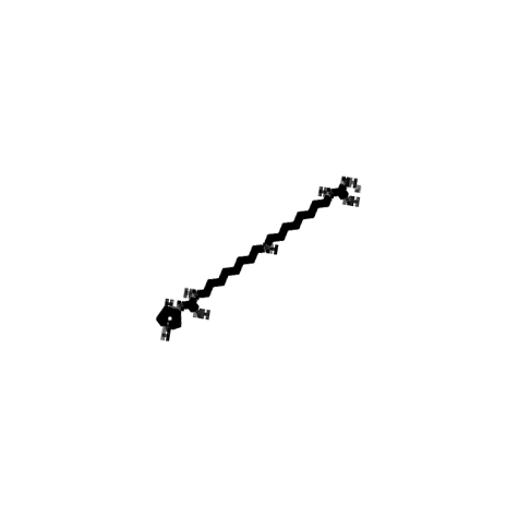 N=C(N)NCCCCCCCCNCCCCCCCCNC(=N)N.c1cc[nH]c1